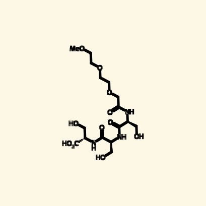 COCCOCCOCC(=O)N[C@@H](CO)C(=O)N[C@@H](CO)C(=O)N[C@@H](CO)C(=O)O